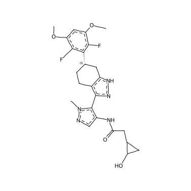 COc1cc(OC)c(F)c([C@H]2CCc3c(-c4c(NC(=O)CC5CC5O)cnn4C)n[nH]c3C2)c1F